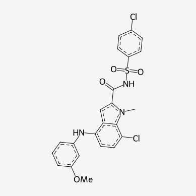 COc1cccc(Nc2ccc(Cl)c3c2cc(C(=O)NS(=O)(=O)c2ccc(Cl)cc2)n3C)c1